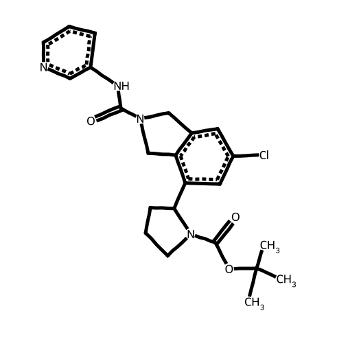 CC(C)(C)OC(=O)N1CCCC1c1cc(Cl)cc2c1CN(C(=O)Nc1cccnc1)C2